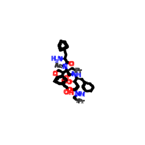 CC(=O)N(C(=O)[C@@H](N)Cc1ccccc1)[C@](CC(C)C)(C(=O)N[C@@H](CC1CCCCC1)[C@@H](O)CC(=O)NCC(C)C)C1COc2ccc(CO)cc21